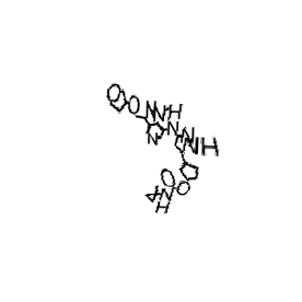 Cn1nc(COC2CCOC2)c2cncc(NC3=NNC(C4CCC(OC(=O)NC5(C)CC5)C4)C3)c21